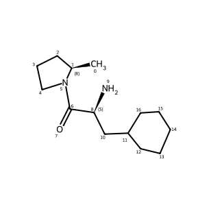 C[C@@H]1CCCN1C(=O)[C@@H](N)CC1CCCCC1